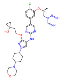 C[C@@H](CN(C=N)N=N)Oc1cc(-c2cnc(Nc3cn(C4CCC(N5CCOCC5)CC4)nc3OCCC3(O)CC3)nc2)ccc1Cl